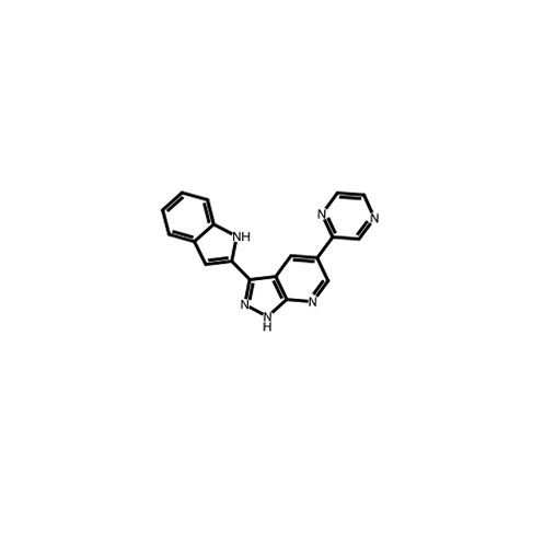 c1ccc2[nH]c(-c3n[nH]c4ncc(-c5cnccn5)cc34)cc2c1